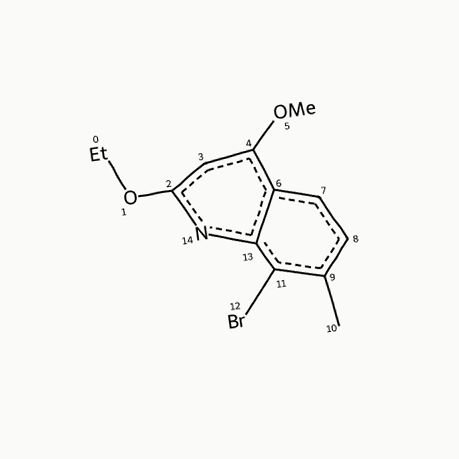 CCOc1cc(OC)c2ccc(C)c(Br)c2n1